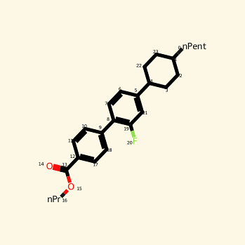 CCCCCC1CCC(c2ccc(-c3ccc(C(=O)OCCC)cc3)c(F)c2)CC1